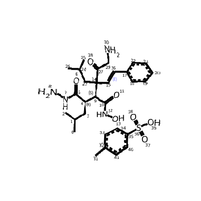 CC(C)C[C@@H](C(=O)NN)[C@H](C(=O)NO)C(/C=C/c1ccccc1)(CC(C)C)C(=O)CN.Cc1ccc(S(=O)(=O)O)cc1